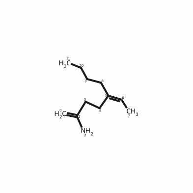 C=C(N)CC/C(=C\C)CCCC